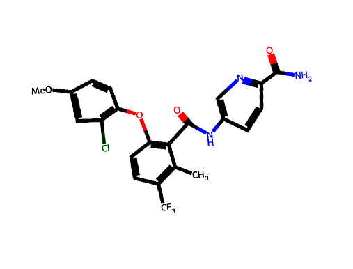 COc1ccc(Oc2ccc(C(F)(F)F)c(C)c2C(=O)Nc2ccc(C(N)=O)nc2)c(Cl)c1